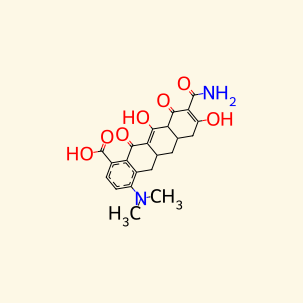 CN(C)c1ccc(C(=O)O)c2c1CC1CC3CC(O)=C(C(N)=O)C(=O)C3C(O)=C1C2=O